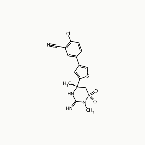 CN1C(=N)N[C@](C)(c2cc(-c3ccc(Cl)c(C#N)c3)cs2)CS1(=O)=O